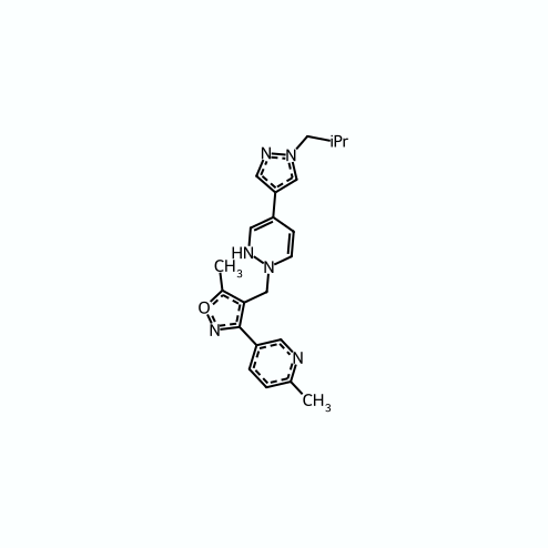 Cc1ccc(-c2noc(C)c2CN2C=CC(c3cnn(CC(C)C)c3)=CN2)cn1